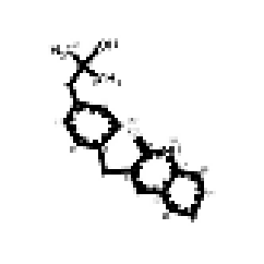 CC(C)(O)Cc1ccc(Cc2cc3ccccc3[nH]c2=O)cc1